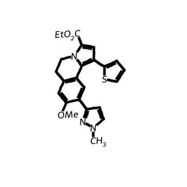 CCOC(=O)c1cc(-c2cccs2)c2n1CCc1cc(OC)c(-c3ccn(C)n3)cc1-2